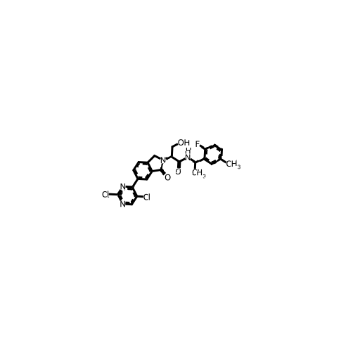 Cc1ccc(F)c(C(C)NC(=O)C(CO)N2Cc3ccc(-c4nc(Cl)ncc4Cl)cc3C2=O)c1